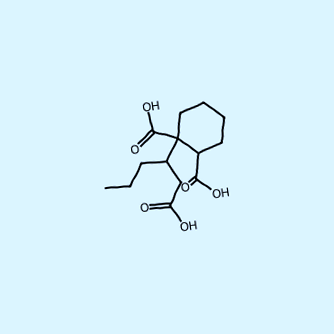 CCCC(CC(=O)O)C1(C(=O)O)CCCCC1C(=O)O